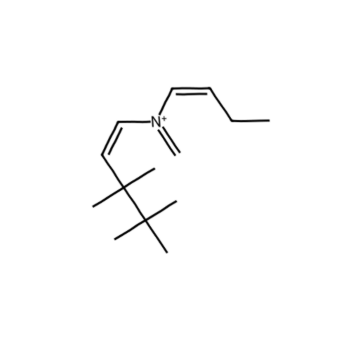 C=[N+](/C=C\CC)/C=C\C(C)(C)C(C)(C)C